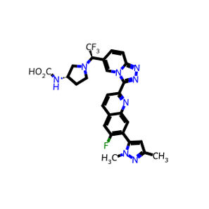 Cc1cc(-c2cc3nc(-c4nnc5ccc([C@@H](N6CC[C@H](NC(=O)O)C6)C(F)(F)F)cn45)ccc3cc2F)n(C)n1